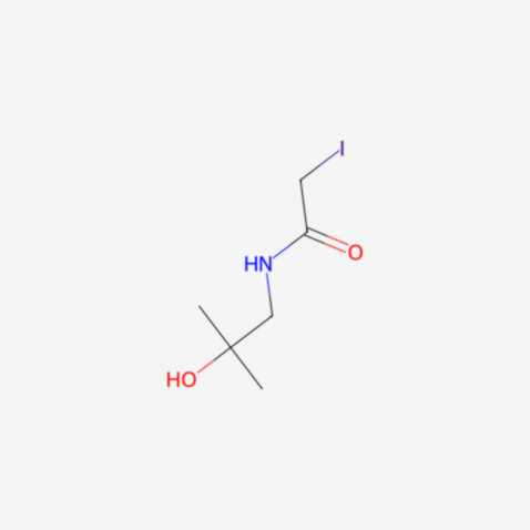 CC(C)(O)CNC(=O)CI